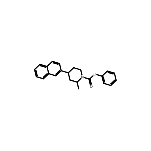 CC1CC(c2ccc3ccccc3c2)CCN1C(=O)Oc1ccccc1